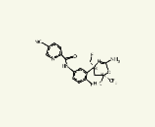 C[C@@]1(C(F)(F)F)C[C@@](CF)(c2cc(NC(=O)c3ccc(C#N)cn3)ccc2F)N=C(N)O1